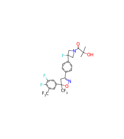 CC(C)(O)C(=O)N1CC(F)(c2ccc(C3=NOC(c4cc(F)c(F)c(C(F)(F)F)c4)(C(F)(F)F)C3)cc2)C1